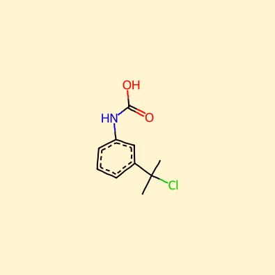 CC(C)(Cl)c1cccc(NC(=O)O)c1